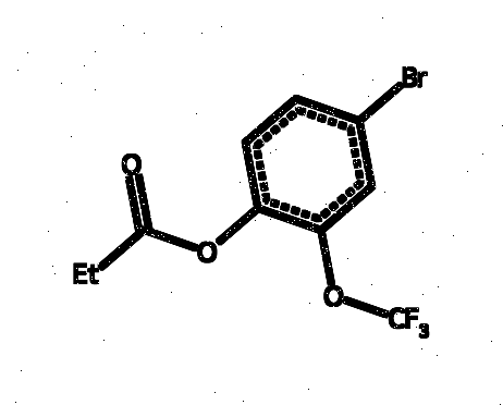 CCC(=O)Oc1ccc(Br)cc1OC(F)(F)F